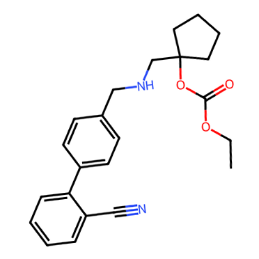 CCOC(=O)OC1(CNCc2ccc(-c3ccccc3C#N)cc2)CCCC1